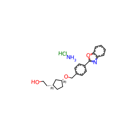 Cl.N.OCC[C@H]1CC[C@@H](OCc2ccc(-c3nc4ccccc4o3)cc2)C1